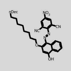 CCCCCCCCCCCCCCCCCCOc1cc(O)c2ccccc2c1N=Nc1c(C#N)cc([N+](=O)[O-])cc1C#N